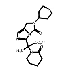 CC(C(=O)O)(c1ncc2n1C(=O)N(C1CCNCC1)C2)N1CCCCC1=O